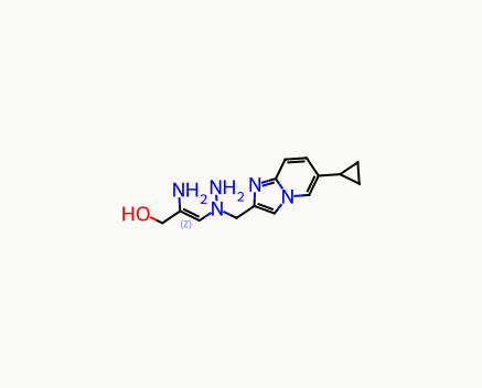 N/C(=C\N(N)Cc1cn2cc(C3CC3)ccc2n1)CO